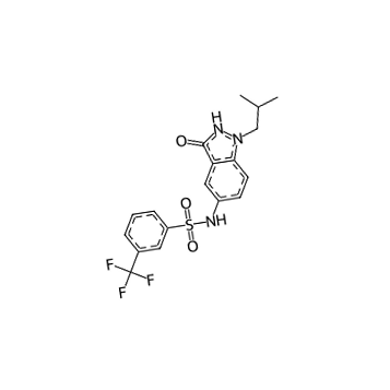 CC(C)Cn1[nH]c(=O)c2cc(NS(=O)(=O)c3cccc(C(F)(F)F)c3)ccc21